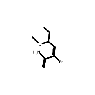 C=C(N)/C(Br)=C\C(CC)OC